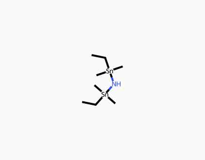 C[CH2][Sn]([CH3])([CH3])[NH][Sn]([CH3])([CH3])[CH2]C